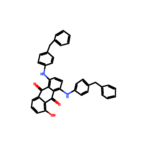 O=C1c2cccc(O)c2C(=O)c2c(Nc3ccc(Cc4ccccc4)cc3)ccc(Nc3ccc(Cc4ccccc4)cc3)c21